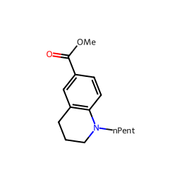 CCCCCN1CCCc2cc(C(=O)OC)ccc21